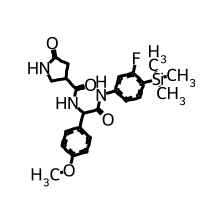 COc1ccc(C(NC(=O)C2CNC(=O)C2)C(=O)Nc2ccc([Si](C)(C)C)c(F)c2)cc1